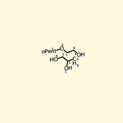 CC(O)CO.CCCCCOCCO